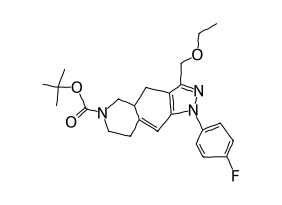 CCOCc1nn(-c2ccc(F)cc2)c2c1CC1CN(C(=O)OC(C)(C)C)CCC1=C2